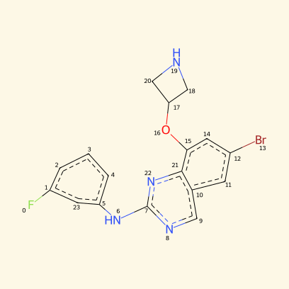 Fc1cccc(Nc2ncc3cc(Br)cc(OC4CNC4)c3n2)c1